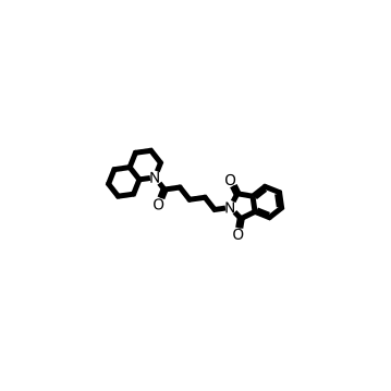 O=C1c2ccccc2C(=O)N1CCCCC(=O)N1CCCC2CCCCC21